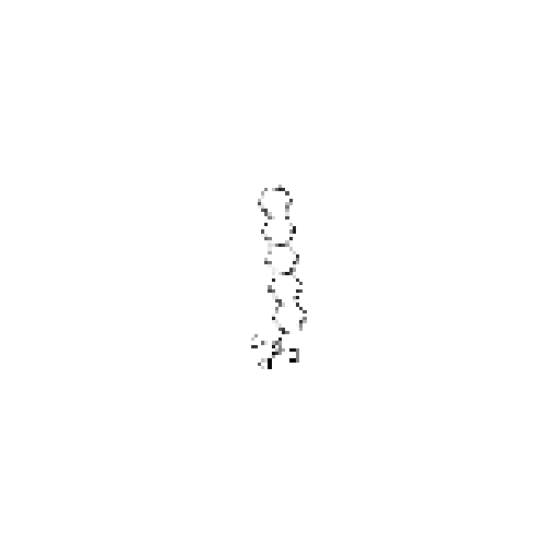 Cl[Si](Cl)(Cl)c1ccc2cc3cc4cc5ccccc5cc4cc3cc2c1